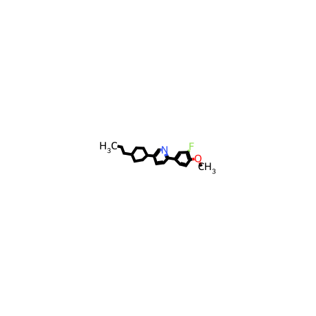 CCCC1CCC(c2ccc(-c3ccc(OC)c(F)c3)nc2)CC1